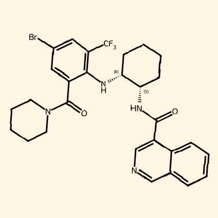 O=C(N[C@H]1CCCC[C@H]1Nc1c(C(=O)N2CCCCC2)cc(Br)cc1C(F)(F)F)c1cncc2ccccc12